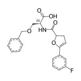 O=C(N[C@@H](COCc1ccccc1)C(=O)O)C1CC=C(c2cccc(F)c2)O1